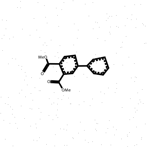 COC(=O)c1ccc(-c2ccccc2)cc1C(=O)OC